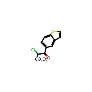 CCOC(=O)C(Cl)C(=O)c1ccc2sccc2c1